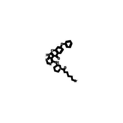 O=C(c1ccc(Oc2ccccc2)cc1Cl)c1c[nH]c2ncnc(N[C@@H]3CCCN(C(=O)CCCCCBr)C3)c12